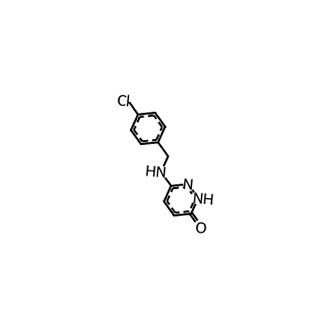 O=c1ccc(NCc2ccc(Cl)cc2)n[nH]1